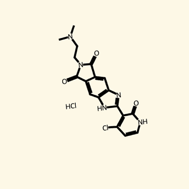 CN(C)CCN1C(=O)c2cc3nc(-c4c(Cl)cc[nH]c4=O)[nH]c3cc2C1=O.Cl